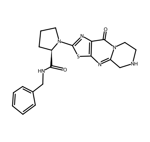 O=C(NCc1ccccc1)[C@H]1CCCN1c1nc2c(=O)n3c(nc2s1)CNCC3